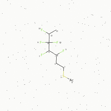 CC(=O)SCCC(F)C(F)C(F)(F)C(C)F